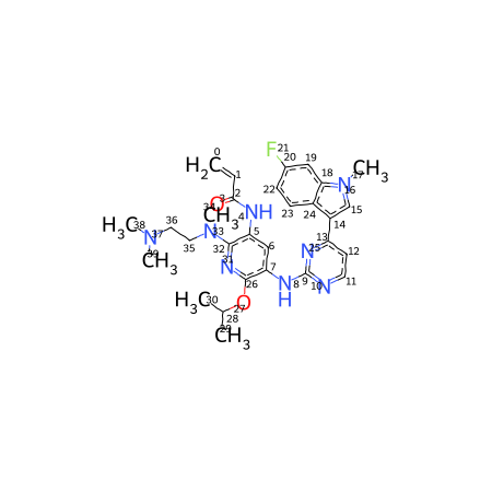 C=CC(=O)Nc1cc(Nc2nccc(-c3cn(C)c4cc(F)ccc34)n2)c(OC(C)C)nc1N(C)CCN(C)C